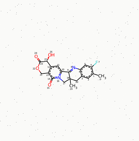 Cc1cc2c(cc1F)N=C1c3cc4c(c(=O)n3CC1(C)C2)COC(=O)[C@H]4O